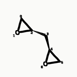 C1O[C@H]1C[C@H]1CO1